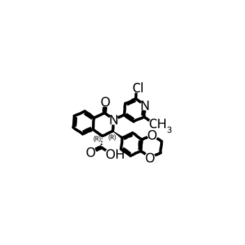 Cc1cc(N2C(=O)c3ccccc3[C@@H](C(=O)O)[C@@H]2c2ccc3c(c2)OCCO3)cc(Cl)n1